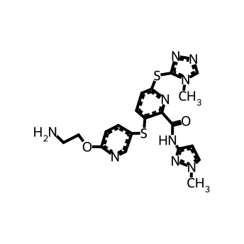 Cn1ccc(NC(=O)c2nc(Sc3nncn3C)ccc2Sc2ccc(OCCN)nc2)n1